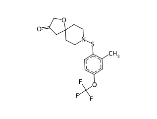 Cc1cc(OC(F)(F)F)ccc1SN1CCC2(CC1)CC(=O)CO2